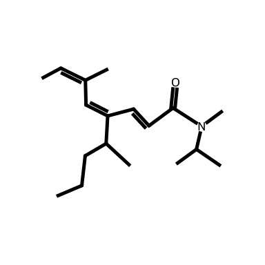 C\C=C(C)/C=C(\C=C\C(=O)N(C)C(C)C)C(C)CCC